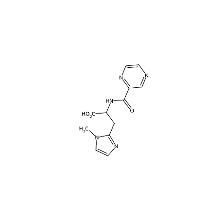 Cn1ccnc1CC(NC(=O)c1cnccn1)C(=O)O